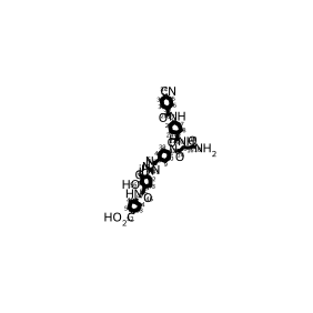 CC(C)Oc1c(-n2nnc(-c3ccc(NC(=O)C(CC(N)=O)NC(=O)c4ccc(NC(=O)c5ccc(C#N)cc5)cc4)cc3)n2)ccc(C(=O)Nc2ccc(C(=O)O)cc2)c1O